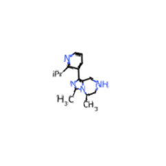 Cc1nc(-c2cccnc2C(C)C)c2n1C(C)CNC2